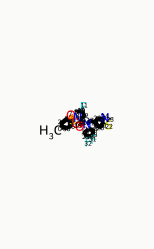 Cc1ccc(S(=O)(=O)N2C[C@@H](F)C[C@H]2C(=O)N(Cc2ccc3scnc3c2)C2CCC(F)(F)CC2)cc1